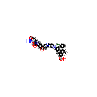 COc1cc(N2CCC(CN3CCC4(CC3)COc3cc5c(cc34)CN([C@H]3CCC(=O)NC3=O)C5=O)CC2)c(F)cc1[C@@H]1c2ccc(O)cc2CC[C@@H]1c1ccccc1